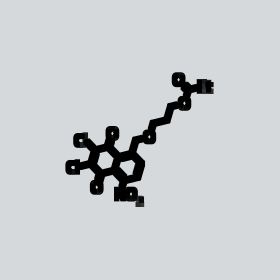 CCC(=O)OCCCOCc1ccc([N+](=O)[O-])c2c1C(=O)C(Cl)=C(Cl)C2=O